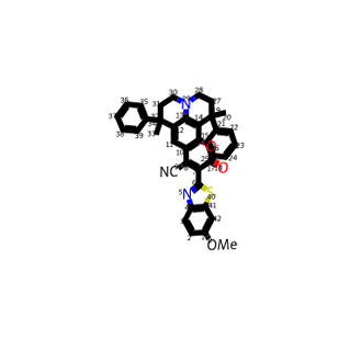 COc1ccc2nc(-c3c(C#N)c4cc5c6c(c4oc3=O)C(C)(c3ccccc3)CCN6CCC5(C)c3ccccc3)sc2c1